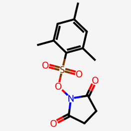 Cc1cc(C)c(S(=O)(=O)ON2C(=O)CCC2=O)c(C)c1